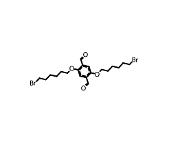 O=Cc1cc(OCCCCCCBr)c(C=O)cc1OCCCCCCBr